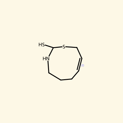 SC1NCCC/C=C\CS1